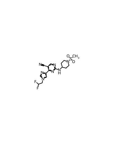 CS(=O)(=O)N1CCC(Nc2ncc(C#N)c(-c3cn(CC(F)F)cn3)n2)CC1